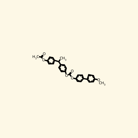 COc1ccc(-c2ccc(OC(=O)Oc3ccc(C(C)c4ccc(OC(C)=O)cc4)cc3)cc2)cc1